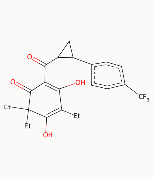 CCC1=C(O)C(CC)(CC)C(=O)C(C(=O)C2CC2c2ccc(C(F)(F)F)cc2)=C1O